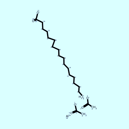 CC(=O)[O-].CC(=O)[O-].CCCCCCCCCCCCCCCCCC(=O)[O-].[Al+3]